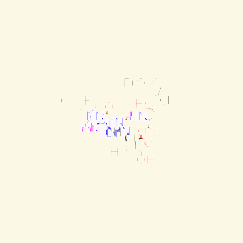 CC(CO)CC(=O)OC(=O)[C@@H]1CCCN1.CCOC(=O)CC(C)CO.CCOC(=O)CCCCO.CN1CC(=O)NC1=N.CN1CC(=O)NC1=N